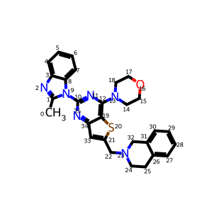 Cc1nc2ccccc2n1-c1nc(N2CCOCC2)c2sc(CN3CCc4ccccc4C3)cc2n1